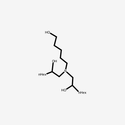 CCCCCCC(O)CN(CCCCCO)CC(O)CCCCCC